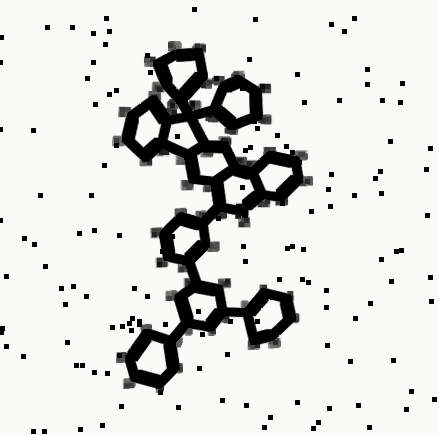 c1ccc(-c2cc(-c3ccccc3)cc(-c3cccc(-c4nc5ccccc5c5cc6c(cc45)-c4ccccc4C6(c4ccccc4)c4ccccc4)c3)c2)cc1